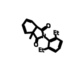 CCc1cccc(CC)c1N1C(=O)C2C=CC=CC2(C)C1=O